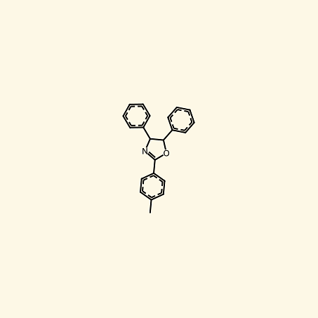 Cc1ccc(C2=NC(c3ccccc3)C(c3ccccc3)O2)cc1